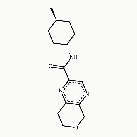 C[C@H]1CC[C@H](NC(=O)c2cnc3c(n2)CCOC3)CC1